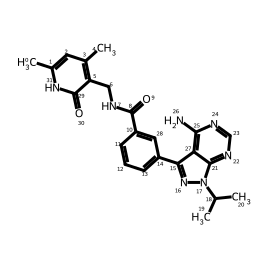 Cc1cc(C)c(CNC(=O)c2cccc(-c3nn(C(C)C)c4ncnc(N)c34)c2)c(=O)[nH]1